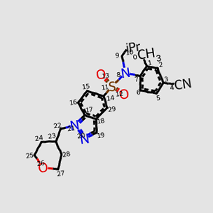 Cc1cc(C#N)ccc1N(CC(C)C)S(=O)(=O)c1ccc2c(cnn2CC2CCOCC2)c1